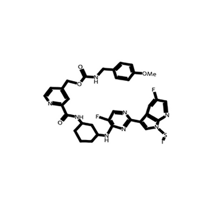 COc1ccc(CNC(=O)OCc2ccnc(C(=O)NC3CCCC(Nc4nc(-c5cn(SI)c6ncc(F)cc56)ncc4F)C3)c2)cc1